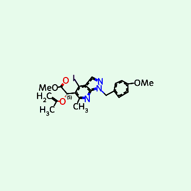 C=C(C)O[C@H](C(=O)OC)c1c(C)nc2c(cnn2Cc2ccc(OC)cc2)c1I